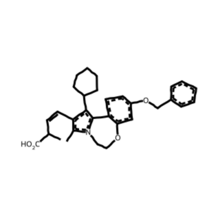 Cc1c(/C=C\C(C)C(=O)O)c(C2CCCCC2)c2n1CCOc1cc(OCc3ccccc3)ccc1-2